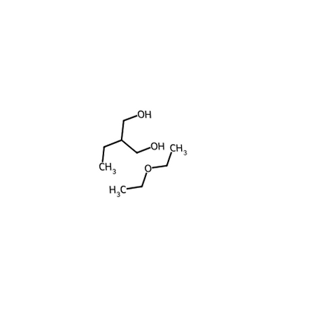 CCC(CO)CO.CCOCC